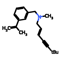 C=C(C)c1cccc(CN(C)CC=CC#CC(C)(C)C)c1